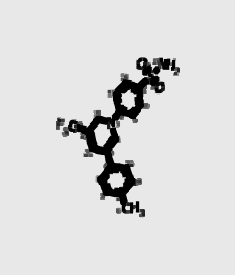 Cc1ccc(C2=CN(c3ccc(S(N)(=O)=O)cc3)CC(C(F)(F)F)=C2)cc1